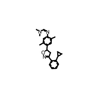 Cc1cc(C2CC(c3ccccc3C3CC3)=NO2)c(C)cc1/N=C\N(C)C